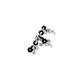 COC(=O)[C@H]1CCCN1C1CCN(C(=O)C(Cc2cc(Br)c(C)c(Br)c2)NC(=O)N2CCC(N3Cc4ccccc4NC3=O)CC2)CC1